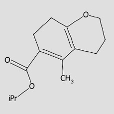 CC1=C(C(=O)OC(C)C)CCC2=C1CCCO2